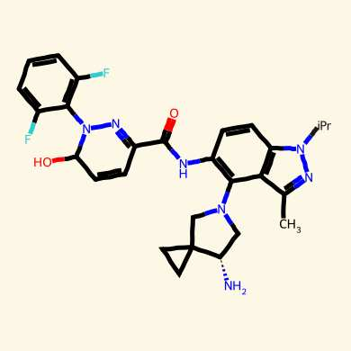 Cc1nn(C(C)C)c2ccc(NC(=O)C3=NN(c4c(F)cccc4F)C(O)C=C3)c(N3C[C@H](N)C4(CC4)C3)c12